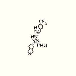 N[C@H](CNc1nc(C=O)c(-c2ccc3cnccc3c2)s1)Cc1ccc(C(F)(F)F)cc1